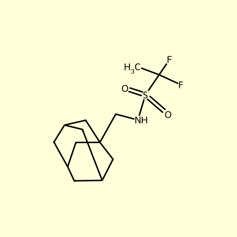 CC(F)(F)S(=O)(=O)NCC12CC3CC(CC(C3)C1)C2